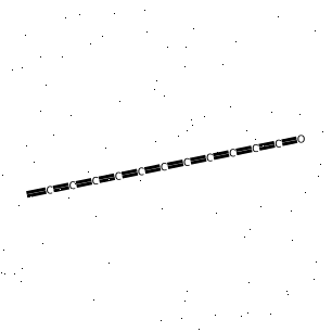 C=C=C=C=C=C=C=C=C=C=C=C=O